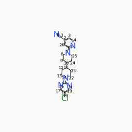 N#Cc1ccnc(N2CCC(C3CCN(c4ncc(Cl)cn4)CC3)CC2)c1